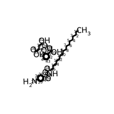 CCCCCCCCCCCCCCCCCC(=O)NS(=O)(=O)c1ccc(N)cc1.O=C(O)CCC(=O)O.O=C(O)c1ccccc1O